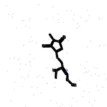 CN/C(=C\OO)CSC1CC(=O)N(C)C1=O